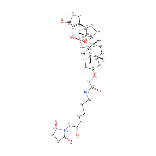 C[C@]12CC[C@H](OCC(=O)NCCCCCC(=O)ON3C(=O)CCC3=O)C[C@H]1CC[C@@H]1[C@@H]2C[C@@H](O)[C@]2(C)[C@@H](C3=CC(=O)OC3)CCC12O